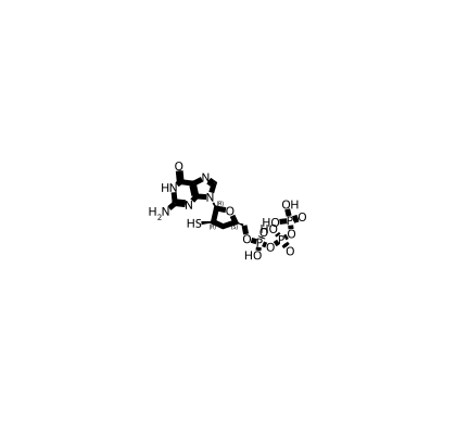 Nc1nc2c(ncn2[C@@H]2O[C@H](COP(=O)(O)OP(=O)(O)OP(=O)(O)O)C[C@H]2S)c(=O)[nH]1